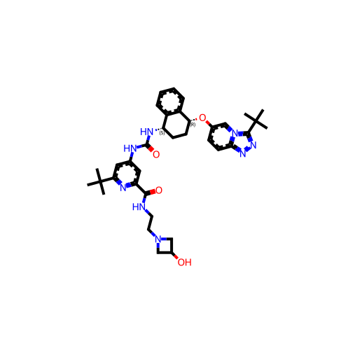 CC(C)(C)c1cc(NC(=O)N[C@H]2CC[C@@H](Oc3ccc4nnc(C(C)(C)C)n4c3)c3ccccc32)cc(C(=O)NCCN2CC(O)C2)n1